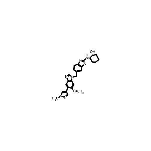 COc1cc2c(cc1-c1cnn(C)c1)ncn2Cc1ccc2nc(N[C@@H]3CCCC[C@H]3O)sc2c1